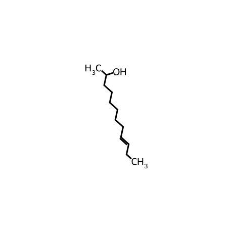 CCC=CCCCCCCC(C)O